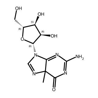 CC12N=CN([C@@H]3O[C@H](CO)[C@@H](O)[C@H]3O)C1=NC(N)=NC2=O